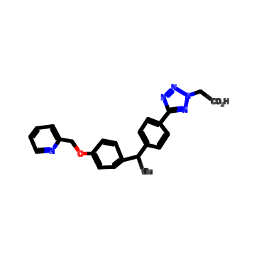 CC(C)(C)C(c1ccc(OCc2ccccn2)cc1)c1ccc(-c2nnn(CC(=O)O)n2)cc1